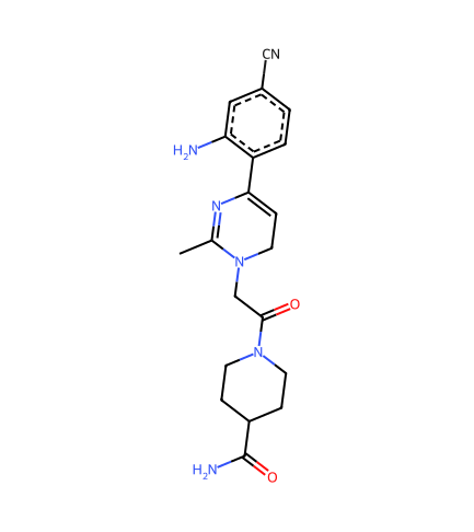 CC1=NC(c2ccc(C#N)cc2N)=CCN1CC(=O)N1CCC(C(N)=O)CC1